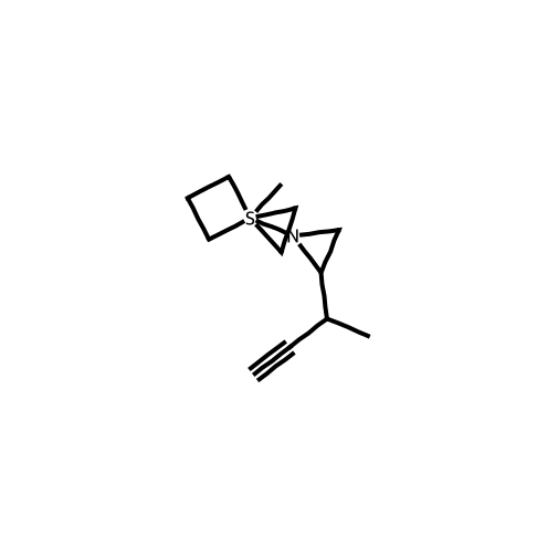 C#CC(C)C1CN1S12(C)(CCC1)CC2